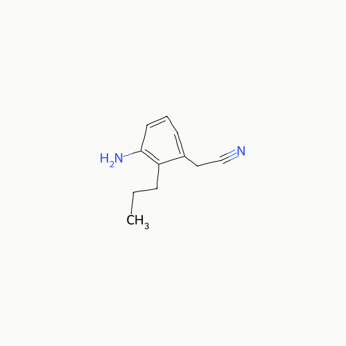 CCCc1c(N)cccc1CC#N